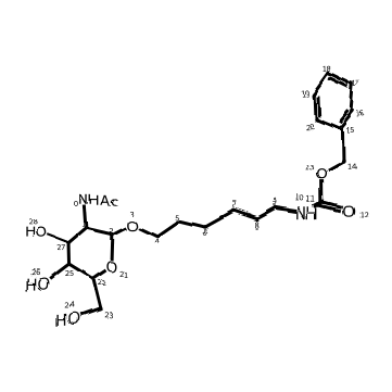 CC(=O)NC1C(OCCCCCCNC(=O)OCc2ccccc2)OC(CO)C(O)C1O